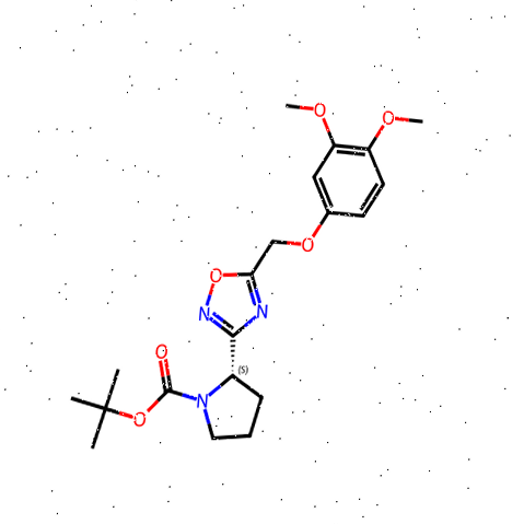 COc1ccc(OCc2nc([C@@H]3CCCN3C(=O)OC(C)(C)C)no2)cc1OC